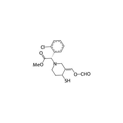 COC(=O)[C@H](c1ccccc1Cl)N1CCC(S)/C(=C\OC=O)C1